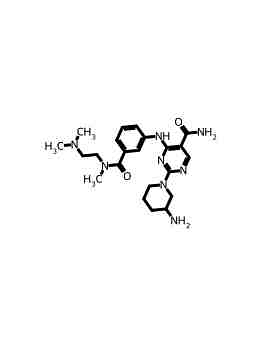 CN(C)CCN(C)C(=O)c1cccc(Nc2nc(N3CCCC(N)C3)ncc2C(N)=O)c1